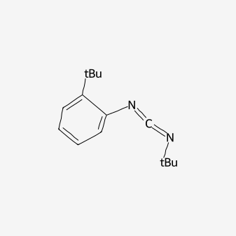 CC(C)(C)N=C=Nc1ccccc1C(C)(C)C